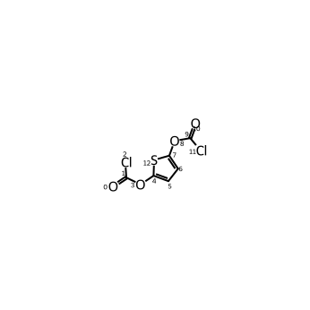 O=C(Cl)Oc1ccc(OC(=O)Cl)s1